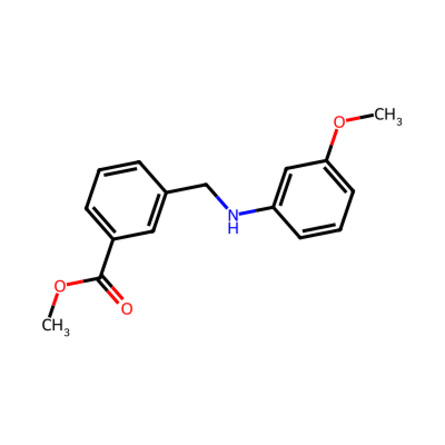 COC(=O)c1cccc(CNc2cccc(OC)c2)c1